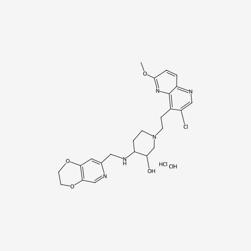 COc1ccc2ncc(Cl)c(CCN3CCC(NCc4cc5c(cn4)OCCO5)C(O)C3)c2n1.Cl.Cl